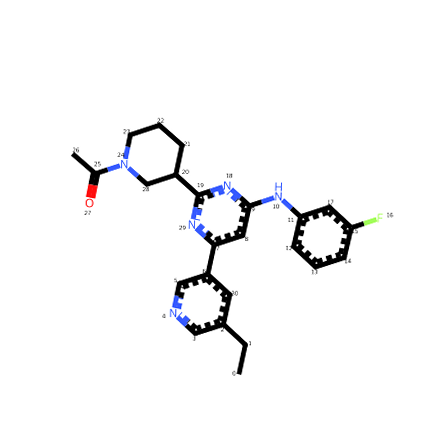 CCc1cncc(-c2cc(Nc3cccc(F)c3)nc(C3CCCN(C(C)=O)C3)n2)c1